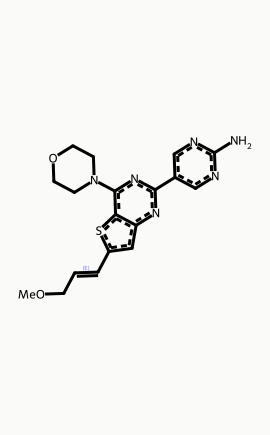 COC/C=C/c1cc2nc(-c3cnc(N)nc3)nc(N3CCOCC3)c2s1